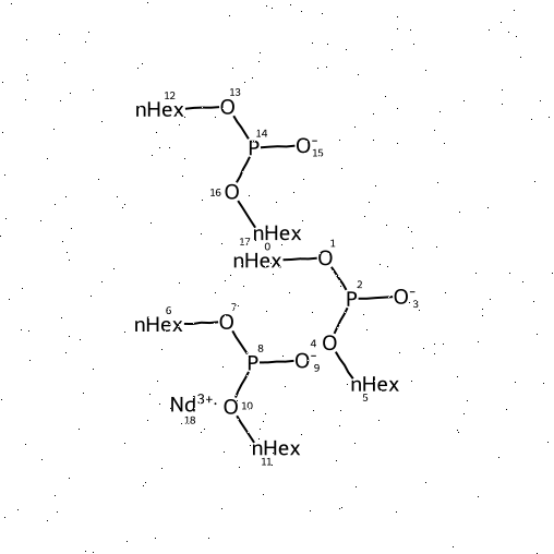 CCCCCCOP([O-])OCCCCCC.CCCCCCOP([O-])OCCCCCC.CCCCCCOP([O-])OCCCCCC.[Nd+3]